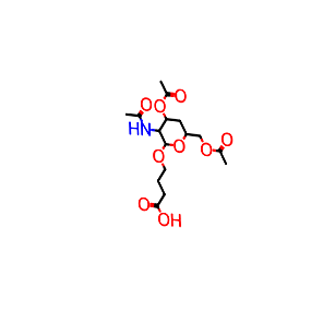 CC(=O)NC1C(OC(C)=O)CC(COC(C)=O)OC1OCCCC(=O)O